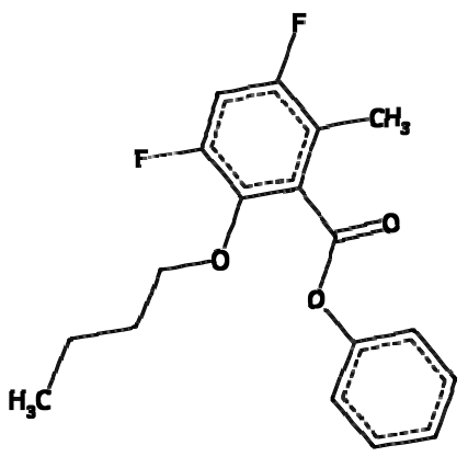 CCCCOc1c(F)cc(F)c(C)c1C(=O)Oc1ccccc1